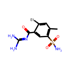 CCc1cc(C)c(S(N)(=O)=O)cc1C(=O)N=C(N)N